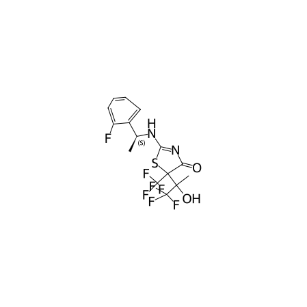 C[C@H](NC1=NC(=O)C(C(F)(F)F)(C(C)(O)C(F)(F)F)S1)c1ccccc1F